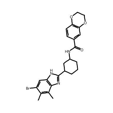 Cc1c(Br)cc2[nH]c(C3CCCC(NC(=O)c4ccc5c(c4)OCCO5)C3)nc2c1C